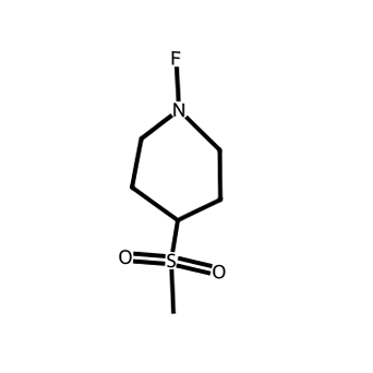 CS(=O)(=O)C1CCN(F)CC1